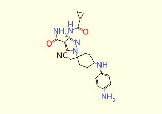 N#CCC1(n2cc(C(N)=O)c(NC(=O)C3CC3)n2)CCC(Nc2ccc(N)cc2)CC1